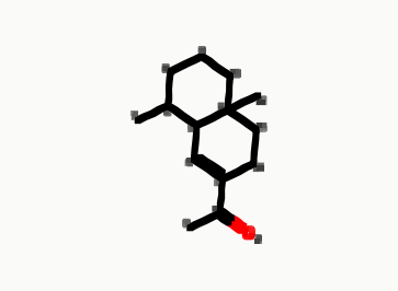 CC(=O)C1=CC2C(C)CCCC2(C)CC1